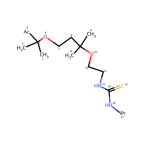 CC(=O)C(C)(C)OCCC(C)(C)OCCNC(=S)NC(C)C